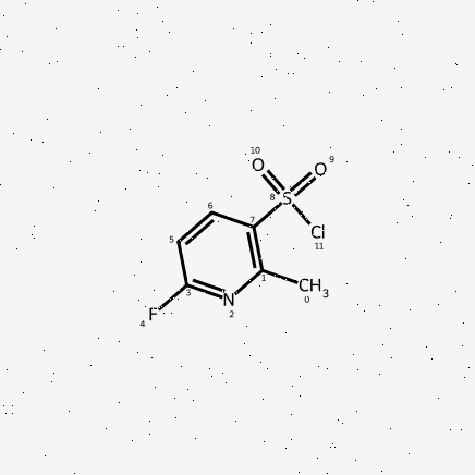 Cc1nc(F)ccc1S(=O)(=O)Cl